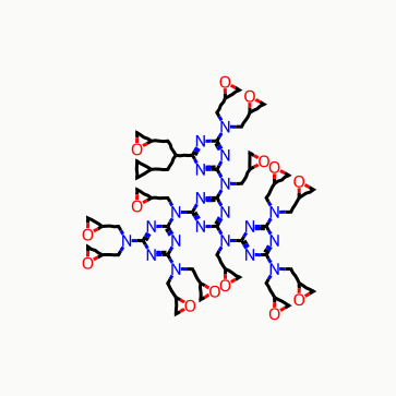 C1CC1CC(CC1CO1)c1nc(N(CC2CO2)CC2CO2)nc(N(CC2CO2)c2nc(N(CC3CO3)c3nc(N(CC4CO4)CC4CO4)nc(N(CC4CO4)CC4CO4)n3)nc(N(CC3CO3)c3nc(N(CC4CO4)CC4CO4)nc(N(CC4CO4)CC4CO4)n3)n2)n1